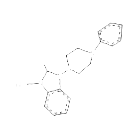 CCCN1c2ccccc2N(N2CCN(c3ccccc3)CC2)C1C